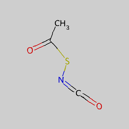 CC(=O)SN=C=O